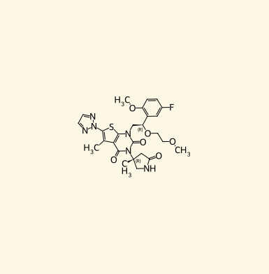 COCCO[C@@H](Cn1c(=O)n([C@@]2(C)CNC(=O)C2)c(=O)c2c(C)c(-n3nccn3)sc21)c1cc(F)ccc1OC